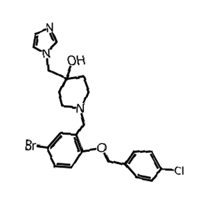 OC1(Cn2ccnc2)CCN(Cc2cc(Br)ccc2OCc2ccc(Cl)cc2)CC1